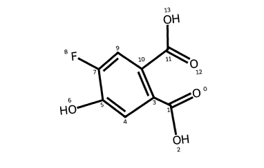 O=C(O)c1cc(O)c(F)cc1C(=O)O